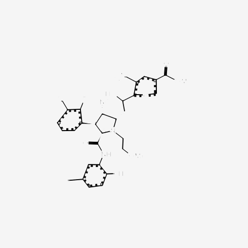 COCCN1[C@@H](CC(O)c2ccc(C(=O)OC)cc2[N+](=O)[O-])[C@@H]([N+](=O)[O-])[C@H](c2cccc(Cl)c2F)[C@@H]1C(=O)Nc1cc(Cl)ccc1C